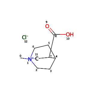 C[N+]12CCC(CC1)C(C(=O)O)C2.[Cl-]